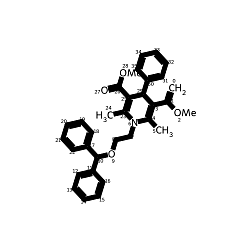 C=C(OC)C1=C(C)N(CCOC(c2ccccc2)c2ccccc2)C(C)=C(C(=O)OC)C1c1ccccc1